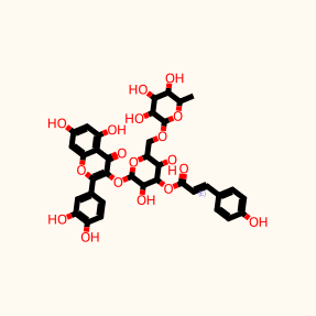 CC1OC(OCC2OC(Oc3c(-c4ccc(O)c(O)c4)oc4cc(O)cc(O)c4c3=O)C(O)C(OC(=O)/C=C/c3ccc(O)cc3)C2O)C(O)C(O)C1O